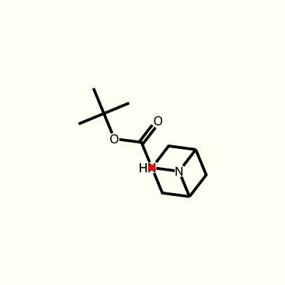 CC(C)(C)OC(=O)NN1C2CNCC1C2